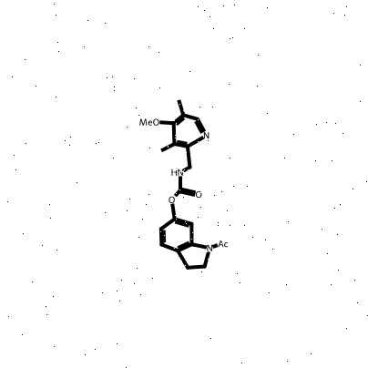 COc1c(C)cnc(CNC(=O)Oc2ccc3c(c2)N(C(C)=O)CC3)c1C